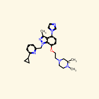 Cc1nn(Cc2cccc(C3CC3)n2)c2c(OCCN3CCN(C)[C@H](C)C3)ccc(-n3ccnc3)c12